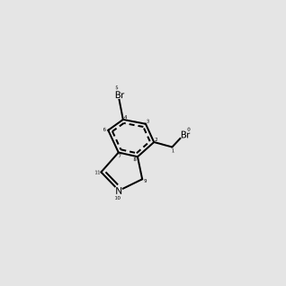 BrCc1cc(Br)cc2c1CN=C2